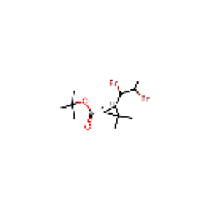 CC(Br)C(Br)[C@@H]1[C@@H](C(=O)OC(C)(C)C)C1(C)C